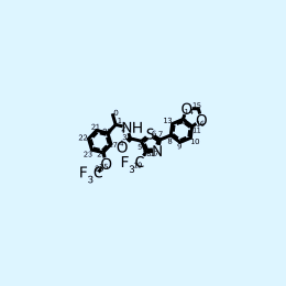 CC(NC(=O)c1sc(-c2ccc3c(c2)OCO3)nc1C(F)(F)F)c1cccc(OC(F)(F)F)c1